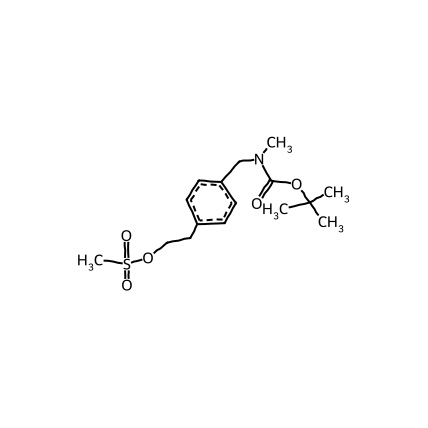 CN(Cc1ccc(CCOS(C)(=O)=O)cc1)C(=O)OC(C)(C)C